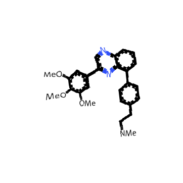 CNCCc1ccc(-c2cccc3ncc(-c4cc(OC)c(OC)c(OC)c4)nc23)cc1